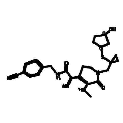 CNC1=C(C(=N)C(=O)NCc2ccc(C#N)cc2)CCN(CC2(SN3CC[C@@H](O)C3)CC2)C1=O